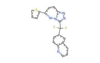 FC(F)(c1ccc2ncccc2c1)c1nnc2ccc(-c3cccs3)nn12